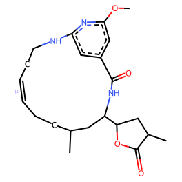 COc1cc2cc(n1)NCC/C=C\CCC(C)CC(C1CC(C)C(=O)O1)NC2=O